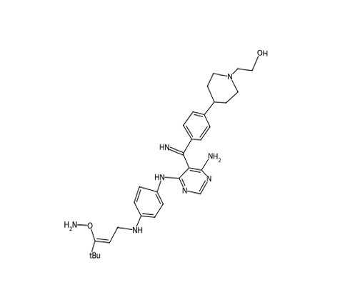 CC(C)(C)/C(=C/CNc1ccc(Nc2ncnc(N)c2C(=N)c2ccc(C3CCN(CCO)CC3)cc2)cc1)ON